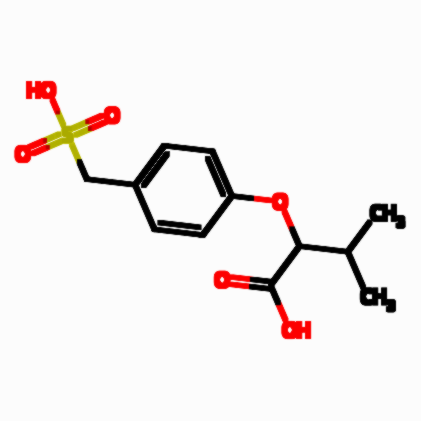 CC(C)C(Oc1ccc(CS(=O)(=O)O)cc1)C(=O)O